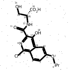 CC(C)Oc1ccc2c(Cl)nc(C(=O)N[C@H](CO)C(=O)O)c(O)c2c1